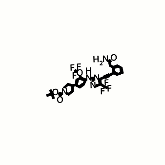 CC(C)(C)OC(=O)N1CCC(c2ccc(Nc3ncc(C(F)(F)F)c(C#Cc4ccccc4CC(N)=O)n3)c(OC(F)(F)F)c2)CC1